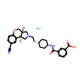 Cl.N#Cc1ccc2c(c1)[C@@H]1CN(CC[C@H]3CC[C@H](NC(=O)c4cccc(C(=O)O)c4)CC3)C[C@H]1CO2